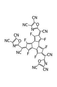 N#CC(=C1C(F)=c2c3c(c4c(c2=C1F)=C(F)C(=C(C#N)c1nc(C#N)c(C#N)o1)C=4F)=C(F)C(=C(C#N)c1nc(C#N)c(C#N)o1)C=3F)c1nc(C#N)c(C#N)o1